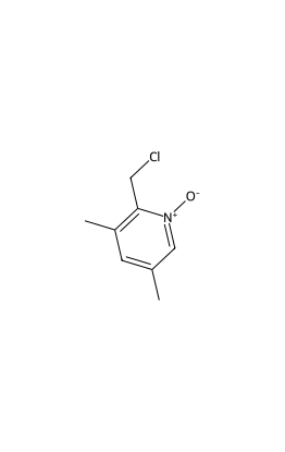 Cc1cc(C)c(CCl)[n+]([O-])c1